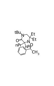 CCCC1(CCC)C(=O)N(C(C)(C)C)CC(CC)(CC)N1OC(C)c1ccccc1